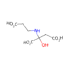 O=C(O)CCNC(O)(CC(=O)O)C(=O)O